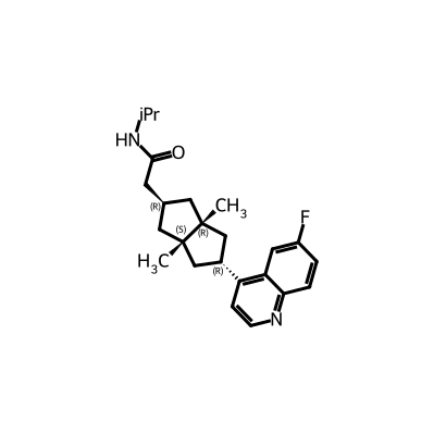 CC(C)NC(=O)C[C@@H]1C[C@@]2(C)C[C@@H](c3ccnc4ccc(F)cc34)C[C@@]2(C)C1